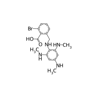 CNc1cc(NC)c(NCc2cccc(Br)c2C(=O)O)c(NC)c1